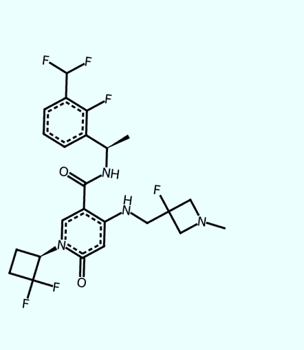 C[C@@H](NC(=O)c1cn([C@@H]2CCC2(F)F)c(=O)cc1NCC1(F)CN(C)C1)c1cccc(C(F)F)c1F